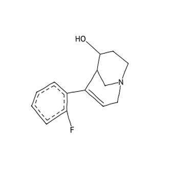 OC1CCN2CC=C(c3ccccc3F)C1C2